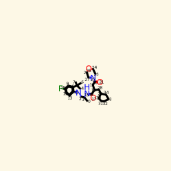 CC(CN1CC(C)(C)c2cc(F)ccc21)NC(=O)C(CC(=O)N1CCOCC1)CC1CCCCC1